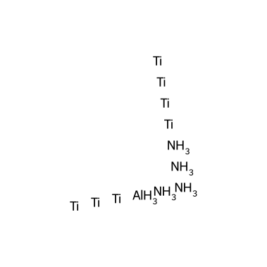 N.N.N.N.[AlH3].[Ti].[Ti].[Ti].[Ti].[Ti].[Ti].[Ti]